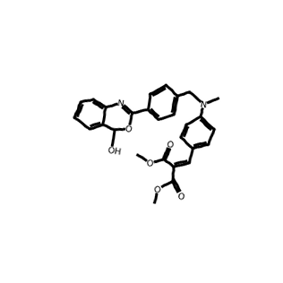 COC(=O)C(=Cc1ccc(N(C)Cc2ccc(C3=Nc4ccccc4C(O)O3)cc2)cc1)C(=O)OC